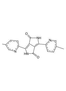 Cc1ccc(C2=C3C(=O)NC(c4ccc(C)cn4)=C3C(=O)N2)nc1